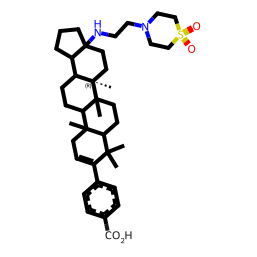 CC1(C)C(c2ccc(C(=O)O)cc2)=CCC2(C)C1CCC1(C)C2CCC2C3CCCC3(NCCN3CCS(=O)(=O)CC3)CC[C@]21C